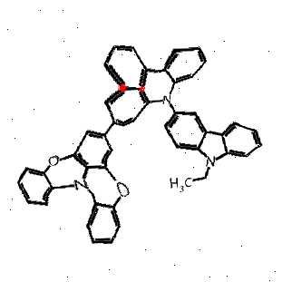 CCn1c2ccccc2c2cc(N(c3cccc(-c4cc5c6c(c4)Oc4ccccc4N6c4ccccc4O5)c3)c3ccccc3-c3ccccc3)ccc21